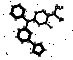 C[C@@H]1CN([C@H](c2ccccc2)c2cccc(-c3cccs3)c2)CCN1C(C(=O)O)C(C)(C)C